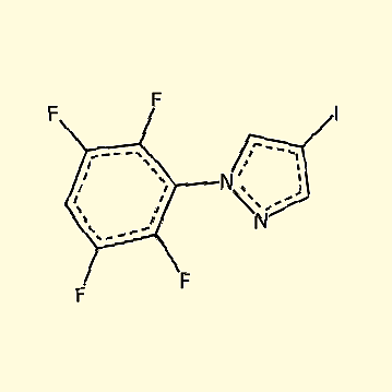 Fc1cc(F)c(F)c(-n2cc(I)cn2)c1F